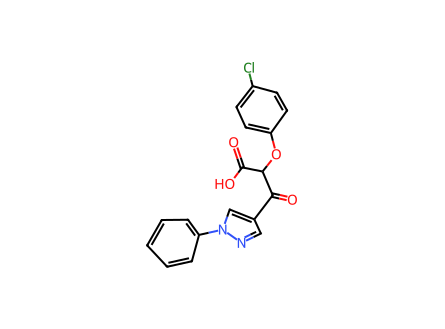 O=C(O)C(Oc1ccc(Cl)cc1)C(=O)c1cnn(-c2ccccc2)c1